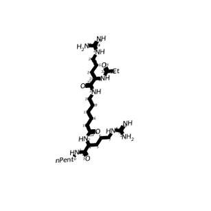 CCCCCNC(=O)C(CCCNC(=N)N)NC(=O)CCCCCNC(=O)C(CCCNC(=N)N)NC(=O)CC